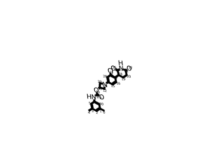 Cc1cc(C)cc(NC(=O)OC2CN(c3ccc(C4CCC(=O)NC4=O)c(Cl)c3)C2)c1